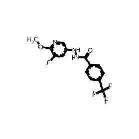 COc1ncc(NNC(=O)c2ccc(C(F)(F)F)cc2)cc1F